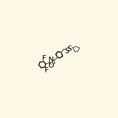 Fc1cccc(F)c1C1=NC(c2ccc(CSSC3CCCC3)cc2)CO1